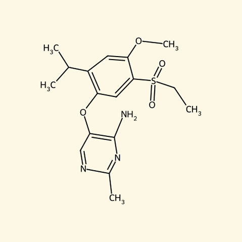 CCS(=O)(=O)c1cc(Oc2cnc(C)nc2N)c(C(C)C)cc1OC